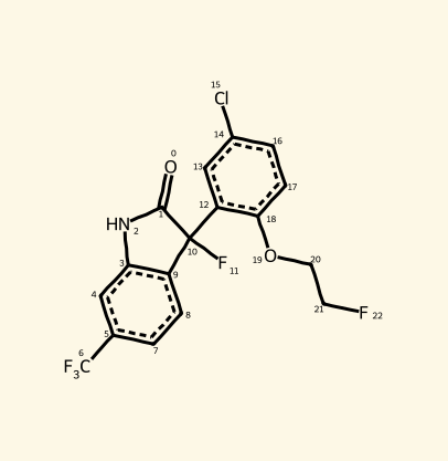 O=C1Nc2cc(C(F)(F)F)ccc2C1(F)c1cc(Cl)ccc1OCCF